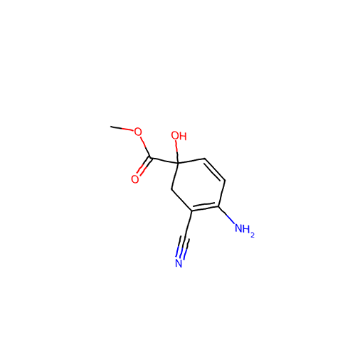 COC(=O)C1(O)C=CC(N)=C(C#N)C1